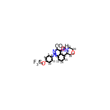 O=C(O)c1nn(-c2ccc(OC(F)(F)F)cc2)c2cccc(C3COCCN3)c2c1=O